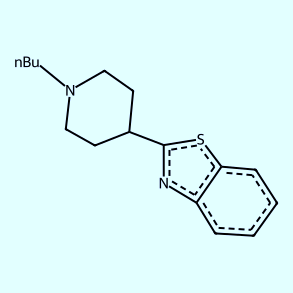 CCCCN1CCC(c2nc3ccccc3s2)CC1